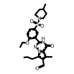 CCCc1c(C=O)c(C)c2c(=O)[nH]c(-c3cc(S(=O)(=O)N4CCC(C)CC4)ccc3OCC)nn12